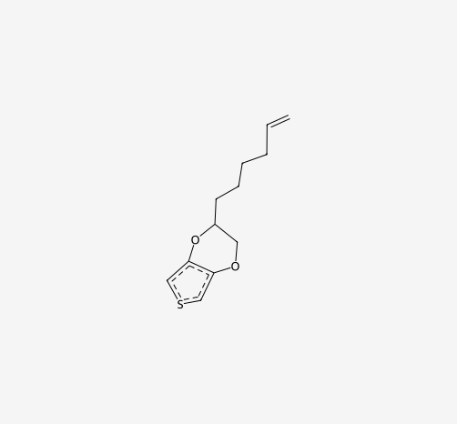 C=CCCCCC1COc2cscc2O1